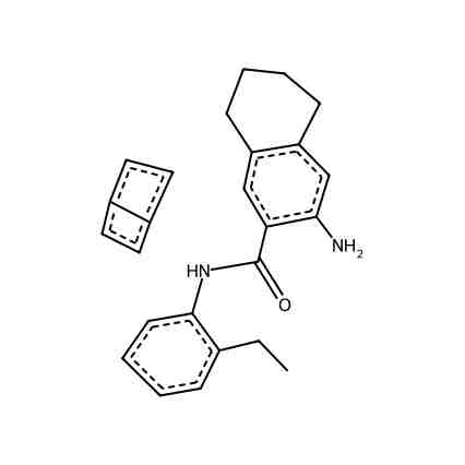 CCc1ccccc1NC(=O)c1cc2c(cc1N)CCCC2.c1cc2ccc1-2